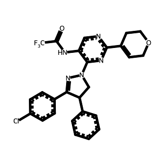 O=C(Nc1cnc(C2=CCOCC2)nc1N1CC(c2ccccc2)C(c2ccc(Cl)cc2)=N1)C(F)(F)F